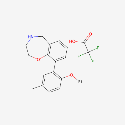 CCOc1ccc(C)cc1-c1cccc2c1OCCNC2.O=C(O)C(F)(F)F